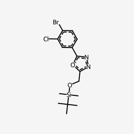 CC(C)(C)[Si](C)(C)OCc1nnc(-c2ccc(Br)c(Cl)c2)o1